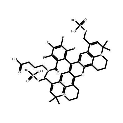 CN(CCCC(=O)O)C(=O)c1c(F)c(F)c(F)c(F)c1C1=c2cc3c4c(c2Oc2c1cc1c5c2CCCN5C(C)(C)C=C1COP(=O)(O)O)CCC[N+]=4C(C)(C)C=C3COP(=O)(O)O